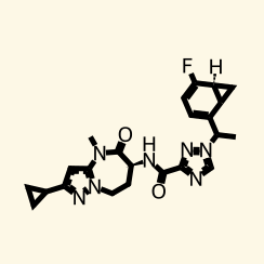 CC(C1=CC=C(F)[C@H]2CC12)n1cnc(C(=O)N[C@H]2CCn3nc(C4CC4)cc3N(C)C2=O)n1